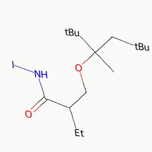 CCC(COC(C)(CC(C)(C)C)C(C)(C)C)C(=O)NI